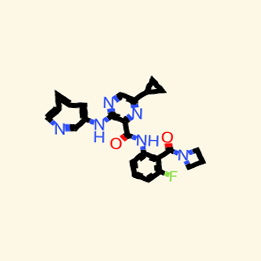 O=C(Nc1cccc(F)c1C(=O)N1CCC1)c1nc(C2CC2)cnc1NC1=C/C=C/C=C/N=C\1